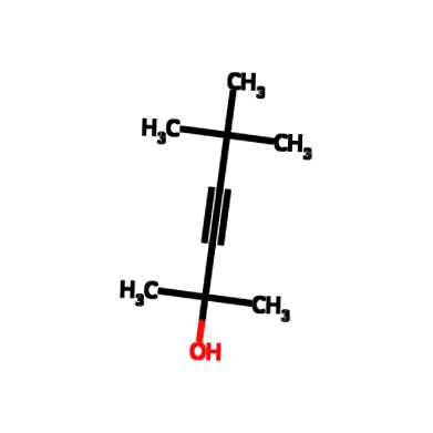 CC(C)(C)C#CC(C)(C)O